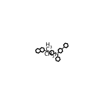 CC(C)(c1ccc(N(c2ccccc2)c2ccc(-c3ccccc3)cc2)cc1)c1ccc2ccccc2c1